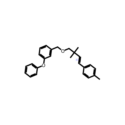 Cc1ccc(/C=C/C(C)(C)COCc2cccc(Oc3ccccc3)c2)cc1